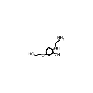 N#Cc1cc(OCCO)ccc1NCCN